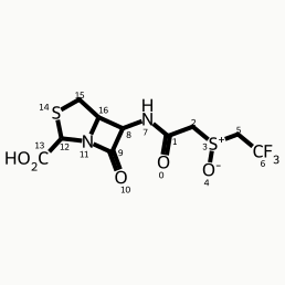 O=C(C[S+]([O-])CC(F)(F)F)NC1C(=O)N2C(C(=O)O)SCC12